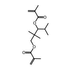 C=C(C)C(=O)OCC(C)(C)C(OC(=O)C(=C)C)C(C)C